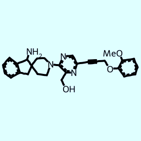 COc1ccccc1OCC#Cc1cnc(N2CCC3(CC2)Cc2ccccc2C3N)c(CO)n1